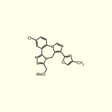 COCc1nnc2n1Cc1c(-c3nc(C)co3)ncn1-c1ccc(Cl)cc1-2